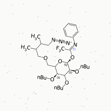 CCCCOC1[C@@H](OCCCC)C(COCC(C)C(C)CN=[N+]=[N-])O[C@@H](O/C(=N/c2ccccc2)C(F)(F)F)[C@H]1OCCCC